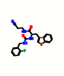 N#CCCNC(=O)C(Cc1csc2ccccc12)NC(=O)NCc1ccccc1F